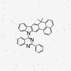 CC1(C)c2cc3c4ccccc4n(-c4nc(-c5ccccc5)nc5ccccc45)c3cc2-c2cccc3cccc1c23